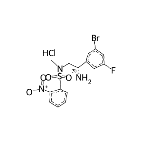 CN(C[C@@H](N)c1cc(F)cc(Br)c1)S(=O)(=O)c1ccccc1[N+](=O)[O-].Cl